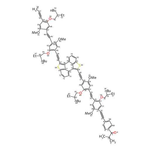 C=C(C)C(=O)c1ccc(C#Cc2cc(OCC(CC)CCCC)c(C#Cc3cc(OC)c(C#Cc4sc5cccc6c7c(C#Cc8cc(OC)c(C#Cc9cc(OCC(CC)CCCC)c(C#CC)cc9OC)cc8OCC(CC)CCCC)sc8cccc(c4c56)c87)cc3OCC(CC)CCCC)cc2OC)cc1